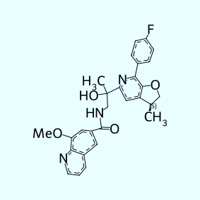 COc1cc(C(=O)NCC(C)(O)c2cc3c(c(-c4ccc(F)cc4)n2)OC[C@H]3C)cc2cccnc12